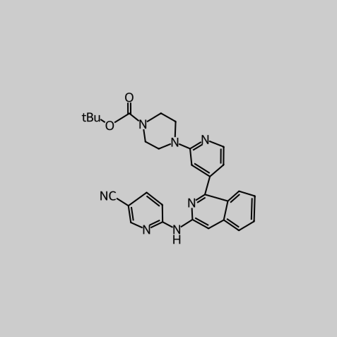 CC(C)(C)OC(=O)N1CCN(c2cc(-c3nc(Nc4ccc(C#N)cn4)cc4ccccc34)ccn2)CC1